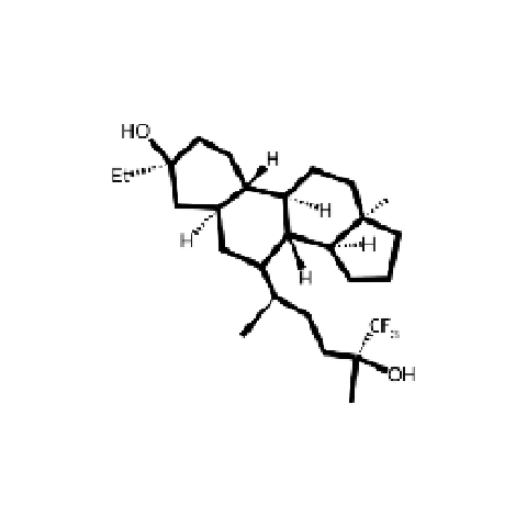 CC[C@]1(O)CC[C@H]2[C@@H](CC([C@H](C)CC[C@](C)(O)C(F)(F)F)[C@@H]3[C@@H]2CC[C@@]2(C)CCC[C@@H]32)C1